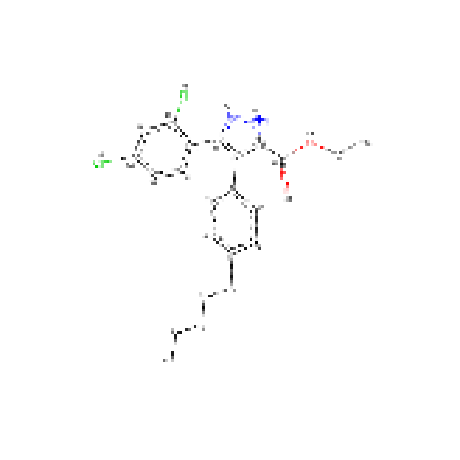 CCCCCc1ccc(-c2c(-c3ccc(Cl)cc3Cl)n[nH]c2C(=O)OCC)cc1